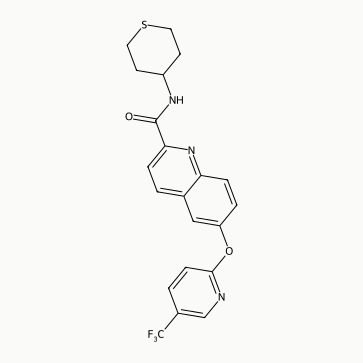 O=C(NC1CCSCC1)c1ccc2cc(Oc3ccc(C(F)(F)F)cn3)ccc2n1